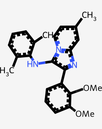 COc1cccc(-c2nc3cc(C)ccn3c2Nc2c(C)cccc2C)c1OC